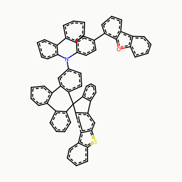 c1ccc(-c2ccccc2N(c2ccc(-c3cccc4c3oc3ccccc34)cc2)c2ccc3c(c2)-c2ccccc2-c2ccccc2C32c3ccccc3-c3cc4sc5ccccc5c4cc32)cc1